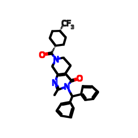 Cc1nc2c(c(=O)n1C(c1ccccc1)c1ccccc1)CCN(C(=O)[C@H]1CC[C@@H](C(F)(F)F)CC1)C2